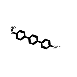 CSc1ccc(-c2ccc(-c3ccc(SN=O)cc3)cc2)cc1